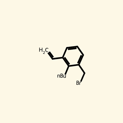 C=Cc1cccc(CBr)c1CCCC